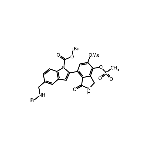 COc1cc(-c2cc3cc(CNC(C)C)ccc3n2C(=O)OC(C)(C)C)c2c(c1OS(C)(=O)=O)CNC2=O